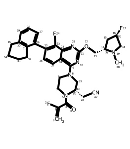 C=C(F)C(=O)N1CCN(c2nc(OC[C@@H]3C[C@@H](F)CN3C)nc3c(F)c(-c4cccc5c4CCCC5)ccc23)C[C@@H]1CC#N